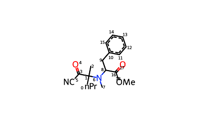 CCCC(C)(C(=O)C#N)N(C)C(Cc1ccccc1)C(=O)OC